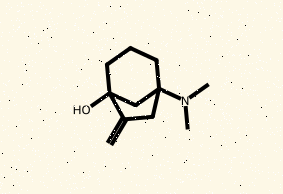 C=C1CC2(N(C)C)CCCC1(O)C2